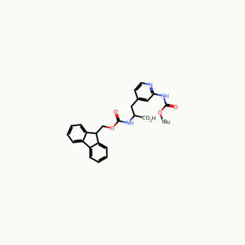 CC(C)(C)OC(=O)Nc1cc(CC(NC(=O)OCC2c3ccccc3-c3ccccc32)C(=O)O)ccn1